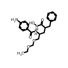 CCOCOCC(CC(Cc1ccccc1)C(=O)NO)NC(=O)c1ccc(N)cc1